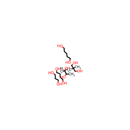 CC(C)(CO)CO.CC(O)C(C)O.OCCCCCO.OCCCCO.OCCCO